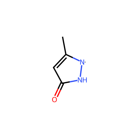 CC1=CC(=O)N[N]1